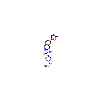 Cc1ncc(-c2ccc3cnc(NC(=O)N4CCC(NC(C)(C)C)CC4)cc3c2)o1